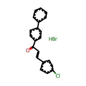 Br.O=C(C=Cc1ccc(Cl)cc1)c1ccc(-c2ccccc2)cc1